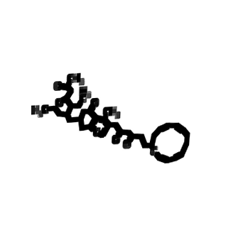 CCCC(CC1CC(=O)c2c(ccc(CC(=O)CC(=O)CCC3C/C=C\C=C/CC/C=C\C=C/C3)c2C)C1)C(CC)C(=O)CC(C)=O